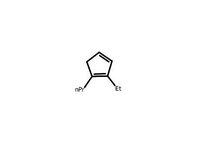 CCCC1=C(CC)C=CC1